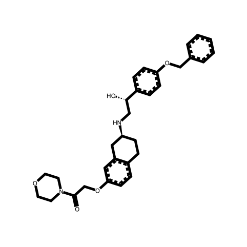 O=C(COc1ccc2c(c1)C[C@@H](NC[C@H](O)c1ccc(OCc3ccccc3)cc1)CC2)N1CCOCC1